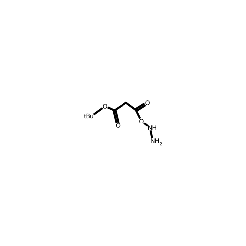 CC(C)(C)OC(=O)CC(=O)ONN